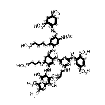 CC(=O)Nc1cc(N=Nc2cc(SCCCS(=O)(=O)O)c(N=Nc3c(C)c(C#N)c4nc(C)c(C)n4c3O)cc2Nc2nc(NCCS(=O)(=O)O)nc(Nc3cc(S(=O)(=O)O)ccc3S(=O)(=O)O)n2)c(SCCCS(=O)(=O)O)cc1N=Nc1ccc([N+](=O)[O-])cc1S(=O)(=O)O